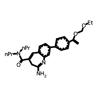 C=C(OCOCC)c1ccc(-c2ccc3c(c2)N=C(N)CC(C(=O)N(CCC)CCC)=C3)cc1